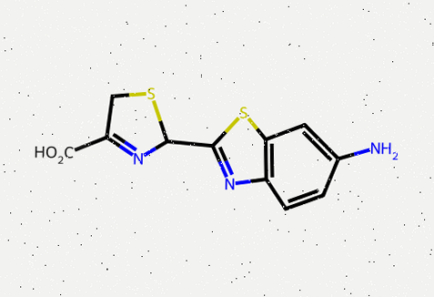 Nc1ccc2nc(C3N=C(C(=O)O)CS3)sc2c1